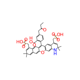 CCC(=O)Cc1ccc(C2=c3cc4c(cc3Oc3cc5c(cc32)C(CS(=O)(=O)O)=CC(C)(C)N5)=CC(C)(C)C=C4CS(=O)(=O)O)c(C(=O)O)c1